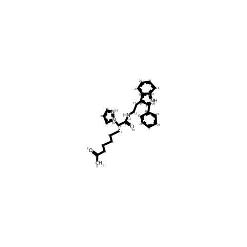 CC(=O)CCCCC[C@@H](C(=O)NCCc1c(-c2ccccc2)[nH]c2ccccc12)n1cccn1